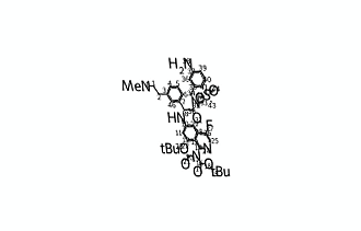 CNCCc1cccc(C(Nc2ccc3c(N(C(=O)OC(C)(C)C)C(=O)OC(C)(C)C)ncc(F)c3c2)C(=O)N(C)Cc2cc(N)ccc2S(C)(=O)=O)c1